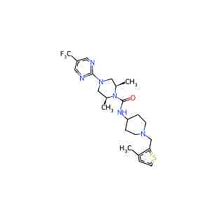 Cc1ccsc1CN1CCC(NC(=O)N2[C@H](C)CN(c3ncc(C(F)(F)F)cn3)C[C@@H]2C)CC1